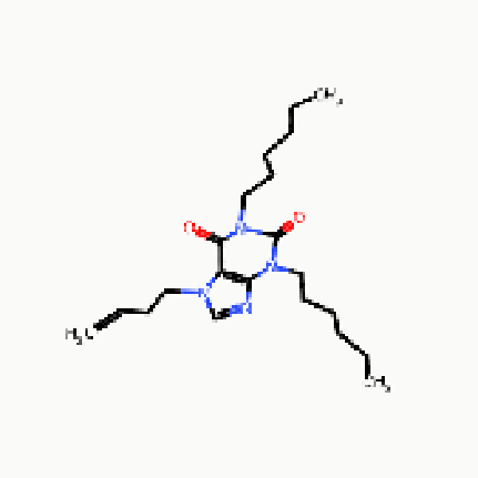 C=CCCn1cnc2c1c(=O)n(CCCCCC)c(=O)n2CCCCCC